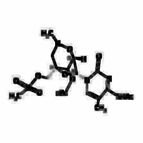 CCCCOC1[C@@H]2ON(C)C[C@]1(COS(C)(=O)=O)O[C@H]2n1cc(C)c(NC(C)=O)nc1=O